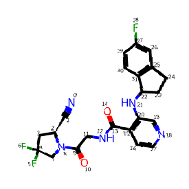 N#C[C@@H]1CC(F)(F)CN1C(=O)CNC(=O)c1ccncc1NC1CCc2cc(F)ccc21